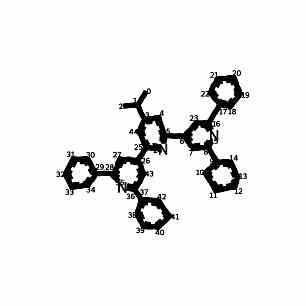 CC(C)c1cc(-c2cc(-c3ccccc3)nc(-c3ccccc3)c2)nc(-c2cc(-c3ccccc3)nc(-c3ccccc3)c2)c1